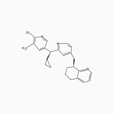 CCc1ncc([C@@H](c2cc(C[C@@H]3CCCc4cccnc43)ccn2)C2CC2)cc1C